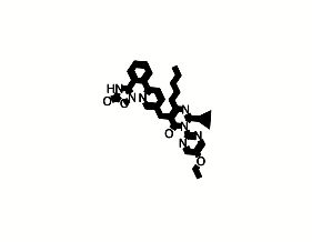 CCCCCc1nc(C2CC2)n(-c2ncc(OCC)cn2)c(=O)c1Cc1ccc(-c2ccccc2-c2noc(=O)[nH]2)nc1